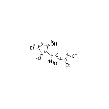 CCC(CC(F)(F)F)c1cc(N2C(=O)N(CC)CC2O)no1